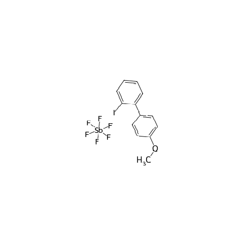 COc1ccc(-c2ccccc2I)cc1.[F][Sb-]([F])([F])([F])([F])[F]